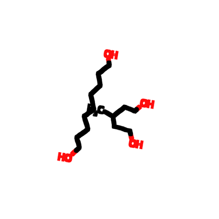 CC(CCO)CCO.OCCCCCCCCCO